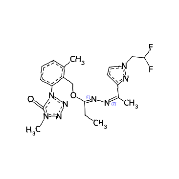 CC/C(=N\N=C(\C)c1ccn(CC(F)F)n1)OCc1c(C)cccc1-n1nnn(C)c1=O